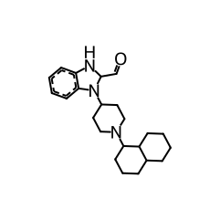 O=CC1Nc2ccccc2N1C1CCN(C2CCCC3CCCCC32)CC1